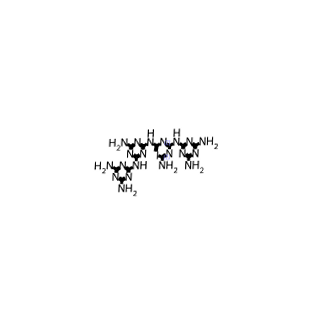 C=C(/N=C(\N=C(\N)I)Nc1nc(N)nc(N)n1)Nc1nc(N)nc(Nc2nc(N)nc(N)n2)n1